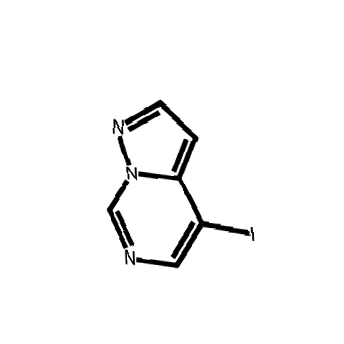 Ic1cncn2nccc12